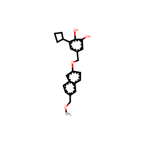 COCc1ccc2cc(OCc3cc(O)c(O)c(C4CCC4)c3)ccc2c1